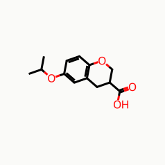 CC(C)Oc1ccc2c(c1)CC(C(=O)O)CO2